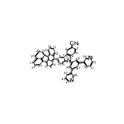 N#Cc1ccc2c(c1)c1cc(-c3c4ccccc4c(-c4cccc5ccccc45)c4ccccc34)ccc1n2-c1cc(-c2cccnc2)cc(-c2cccnc2)c1